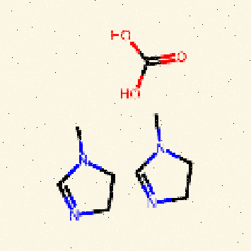 CN1C=NCC1.CN1C=NCC1.O=C(O)O